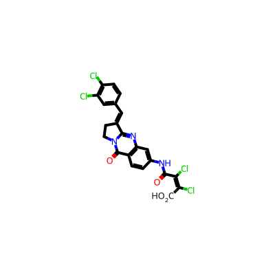 O=C(O)/C(Cl)=C(/Cl)C(=O)Nc1ccc2c(=O)n3c(nc2c1)/C(=C/c1ccc(Cl)c(Cl)c1)CC3